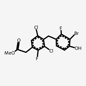 COC(=O)Cc1cc(Cl)c(Cc2ccc(O)c(Br)c2F)c(Cl)c1F